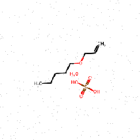 C=CCOCCCCC.O.O=S(=O)(O)O